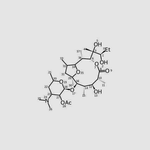 CC[C@@H](O)[C@@](C)(O)[C@@H]1OC(=O)[C@H](C)[C@@H](O)[C@H](C)[C@@H](O[C@@H]2OC(C)CC(N(C)C)C2OC(C)=O)[C@@]2(C)CC(C)C(O2)[C@@H]1C